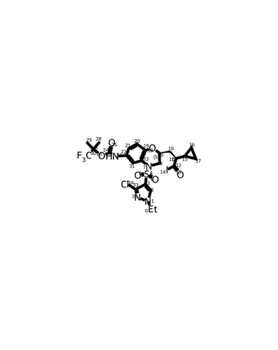 CCn1cc(S(=O)(=O)N2C[C@H](C[C@H](C(=O)I)C3CC3)Oc3ccc(NC(=O)OC(C)(C)C(F)(F)F)cc32)c(Cl)n1